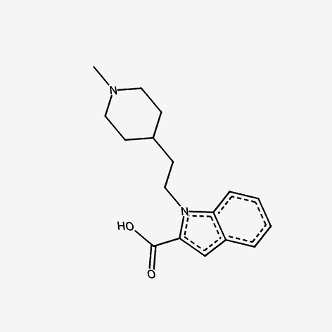 CN1CCC(CCn2c(C(=O)O)cc3ccccc32)CC1